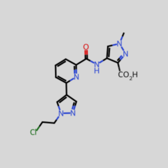 Cn1cc(NC(=O)c2cccc(-c3cnn(CCCl)c3)n2)c(C(=O)O)n1